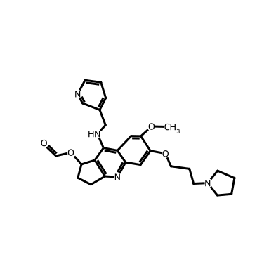 COc1cc2c(NCc3cccnc3)c3c(nc2cc1OCCCN1CCCC1)CCC3OC=O